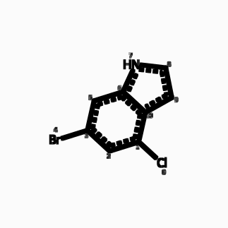 Clc1cc(Br)cc2[nH]ccc12